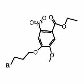 CCOC(=O)c1cc(OC)c(OCCCBr)cc1[N+](=O)[O-]